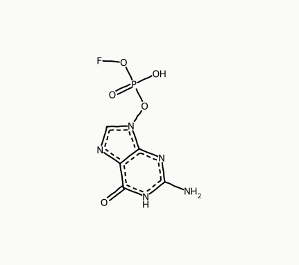 Nc1nc2c(ncn2OP(=O)(O)OF)c(=O)[nH]1